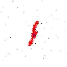 C=CC(=O)OCCOC(=O)CCC(=O)OCCc1ccc(OC(=O)C2CCC(C(=O)Oc3ccc(OC(=O)C4CCC(C(=O)Oc5ccc(CCOC(=O)CCC(=O)OCCOC(=O)C=C)cc5)CC4)c(/C=N/N(CCOCCOC)c4nc5ccccc5s4)c3)CC2)cc1